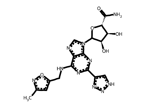 Cc1cc(CNc2nc(-c3c[nH]nn3)nc3c2ncn3C2O[C@H](C(N)=O)[C@@H](O)[C@H]2O)on1